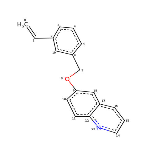 C=Cc1cccc(COc2ccc3ncccc3c2)c1